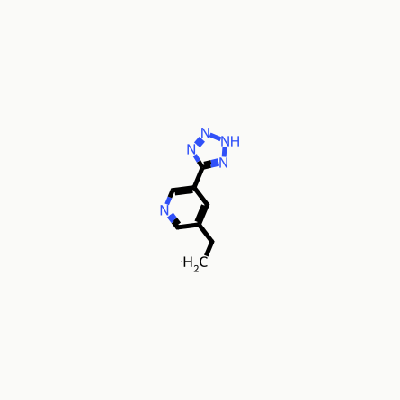 [CH2]Cc1cncc(-c2nn[nH]n2)c1